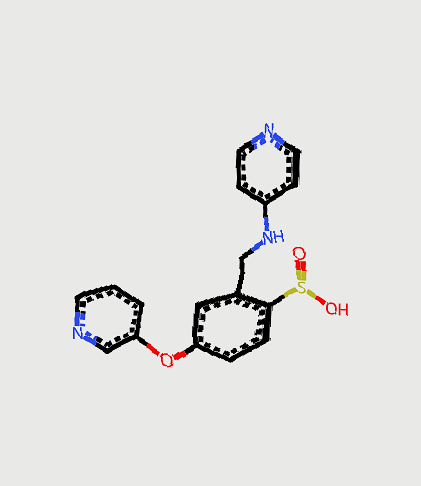 O=S(O)c1ccc(Oc2cccnc2)cc1CNc1ccncc1